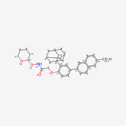 O=C(COc1ccc(-c2ccc3cc(C(=O)O)ccc3c2)cc1C12CC3CC(CC(C3)C1)C2)NOC1CCCCO1